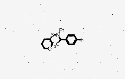 CCN(SC1CCCOC1)C(c1ccc(F)cc1)C(F)(F)F